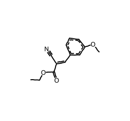 CCOC(=O)/C(C#N)=C/c1cccc(OC)c1